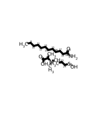 CC(C(=O)O)N(C)C.CCCCCCCCCCCC(N)=O.CCCSO